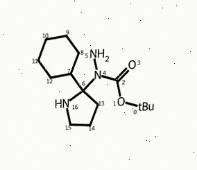 CC(C)(C)OC(=O)N(N)C1(C2CCCCC2)CCCN1